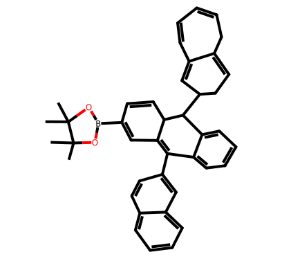 CC1(C)OB(C2=CC3=C(c4ccc5ccccc5c4)c4ccccc4C(C4C=C5C=CC=CCC5=CC4)C3C=C2)OC1(C)C